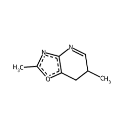 Cc1nc2c(o1)CC(C)C=N2